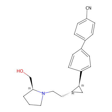 N#Cc1ccc(-c2ccc([C@H]3C[C@@H]3CCN3CCC[C@H]3CO)cc2)cc1